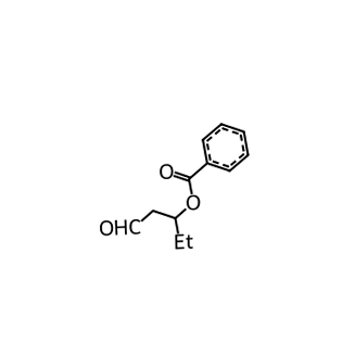 CCC(CC=O)OC(=O)c1ccccc1